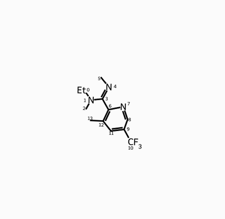 CCN(C)/C(=N\C)c1ncc(C(F)(F)F)cc1C